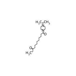 CCC(=O)CCCCCCCCC(=O)N1CCN(C(C)C)CC1